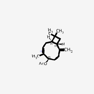 C=C1CC[C@@H](OC(C)=O)/C(C)=C\C[C@@H]2[C@@H]1CC2(C)C